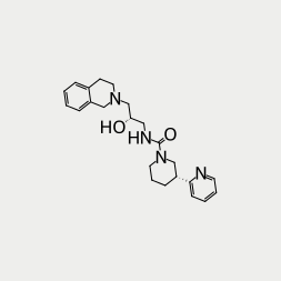 O=C(NC[C@H](O)CN1CCc2ccccc2C1)N1CCC[C@@H](c2ccccn2)C1